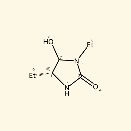 CC[C@H]1NC(=O)N(CC)C1O